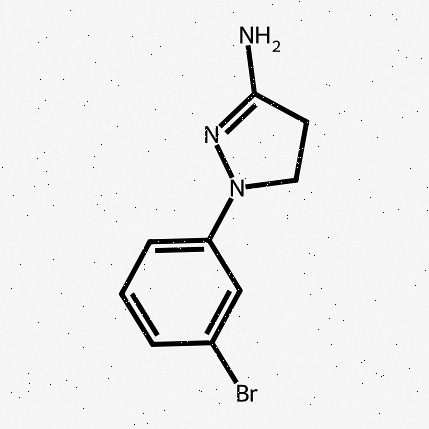 NC1=NN(c2cccc(Br)c2)CC1